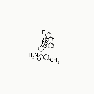 Cc1ccc(C(C(N)=O)C2CCC(CN(Cc3cc(F)ccc3F)S(=O)(=O)c3ccccc3)CC2)cc1